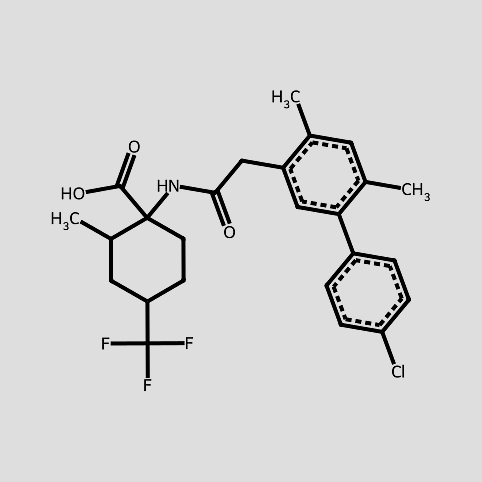 Cc1cc(C)c(-c2ccc(Cl)cc2)cc1CC(=O)NC1(C(=O)O)CCC(C(F)(F)F)CC1C